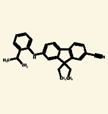 CCC1(CC)c2cc(C#N)ccc2-c2ccc(Nc3ccccc3C(C)C)cc21